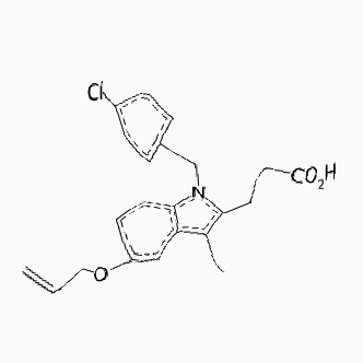 C=CCOc1ccc2c(c1)c(C)c(CCC(=O)O)n2Cc1ccc(Cl)cc1